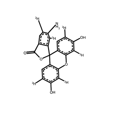 [2H]c1cc2c(c([2H])c1N)C1(OC2=O)c2cc([2H])c(O)c([2H])c2Oc2c1cc([2H])c(O)c2[2H]